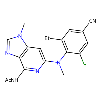 CCc1cc(C#N)cc(F)c1N(C)c1cc2c(ncn2C)c(NC(C)=O)n1